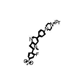 CC(C)N1CCN(c2ccc(-c3cnc4cc(-c5ccc(S(C)(=O)=O)cc5F)n(C)c4c3)cc2)CC1